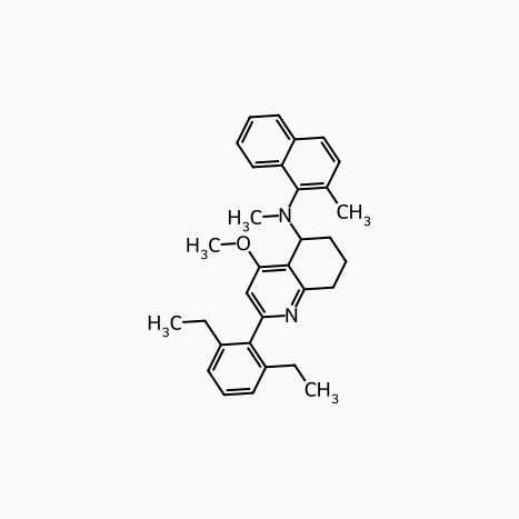 CCc1cccc(CC)c1-c1cc(OC)c2c(n1)CCCC2N(C)c1c(C)ccc2ccccc12